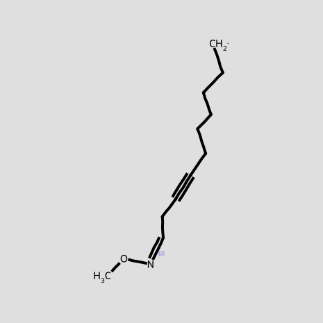 [CH2]CCCCCC#CC/C=N\OC